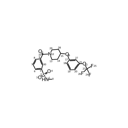 CNS(=O)(=O)c1cccc(C(=O)N2CCC(Oc3cccc(OC(F)(F)F)c3)CC2)c1